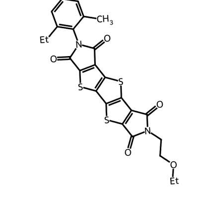 CCOCCn1c(=O)c2sc3c4sc5c(=O)n(-c6c(C)cccc6CC)c(=O)c5c4sc3c2c1=O